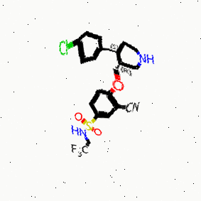 N#Cc1cc(S(=O)(=O)NCC(F)(F)F)ccc1OC[C@H]1CNCC[C@@H]1c1ccc(Cl)cc1